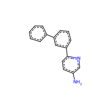 Nc1ccc(-c2cccc(-c3ccccc3)c2)nc1